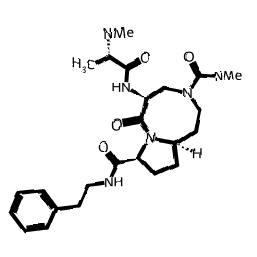 CNC(=O)N1CC[C@H]2CC[C@@H](C(=O)NCCc3ccccc3)N2C(=O)[C@@H](NC(=O)[C@H](C)NC)C1